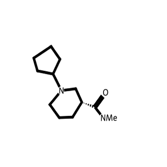 CNC(=O)[C@@H]1CCCN(C2CCCC2)C1